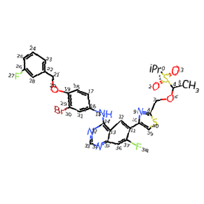 CC(C)S(=O)(=O)C(C)OCc1nc(-c2cc3c(Nc4ccc(OCc5cccc(F)c5)c(Br)c4)ncnc3cc2F)cs1